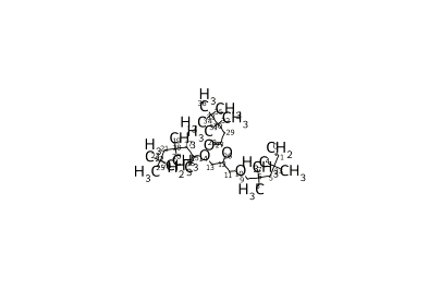 C=CC(C)(C)CC(C)(C)COCC(COC(=C)CC(C)(C)CC(C)(C)C)OC(=O)CC(C)(C)C(C)(C)C